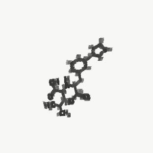 CC(C)CC(NC(Cc1cccc(-c2ccsc2)c1)C(=O)O)C(=O)O